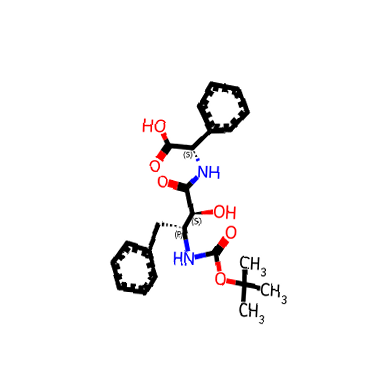 CC(C)(C)OC(=O)N[C@H](Cc1ccccc1)[C@H](O)C(=O)N[C@H](C(=O)O)c1ccccc1